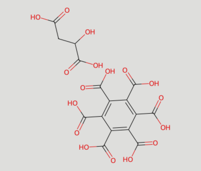 O=C(O)CC(O)C(=O)O.O=C(O)c1c(C(=O)O)c(C(=O)O)c(C(=O)O)c(C(=O)O)c1C(=O)O